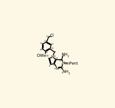 CCCCCN1C(N)=Nc2ccn(Cc3cc(CCl)ccc3OC)c2C1N